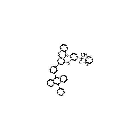 CC(C)(c1ccccc1)c1ccc2c(c1)Sc1cc(-c3cccc(-c4c5ccccc5c(-c5ccccc5)c5ccccc45)c3)cc3c1B2c1ccccc1S3